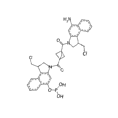 Nc1cc2c(c3ccccc13)C(CCl)CN2C(=O)C12CC(C(=O)N3CC(CCl)c4c3cc(OP(O)O)c3ccccc43)(C1)C2